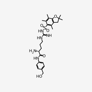 Cc1c(C)c(S(=O)(=O)NC(=N)NCCC[C@H](N)C(=O)Nc2ccc(CO)cc2)c(C)c2c1OC(C)(C)C2